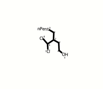 CCCCCCC(CCO)C(Cl)Cl